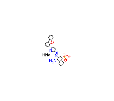 Nc1c(N=Nc2ccc(-c3cccc4c3oc3ccccc34)nc2)cc(S(=O)(=O)O)c2ccccc12.[NaH]